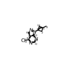 CC12CC(n3ncc4c(Cl)ncnc43)(C1)C2